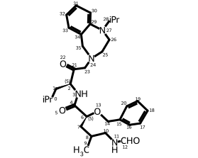 CC(C)C[C@H](NC(=O)[C@H](CC(C)CNC=O)OCc1ccccc1)C(=O)CN1CCN(C(C)C)c2ccccc2C1